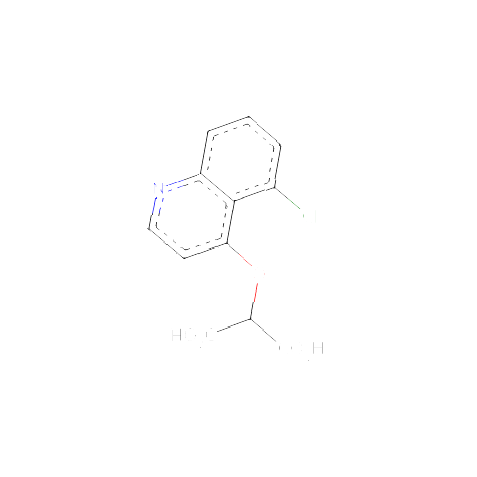 O=C(O)C(Oc1ccnc2cccc(Cl)c12)C(=O)O